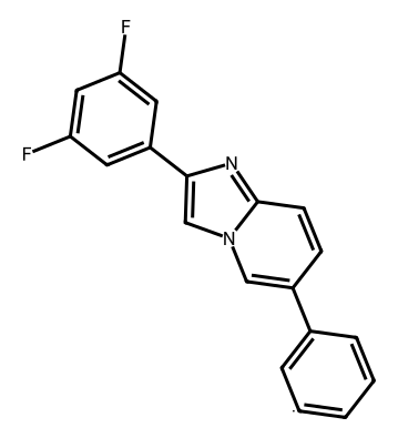 Fc1cc(F)cc(-c2cn3cc(-c4c[c]ccc4)ccc3n2)c1